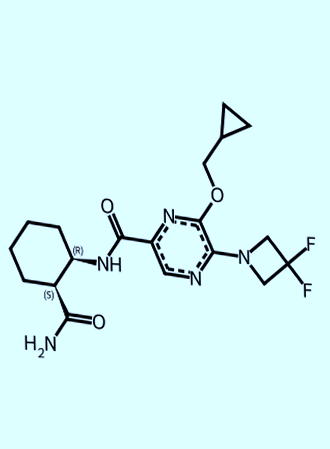 NC(=O)[C@H]1CCCC[C@H]1NC(=O)c1cnc(N2CC(F)(F)C2)c(OCC2CC2)n1